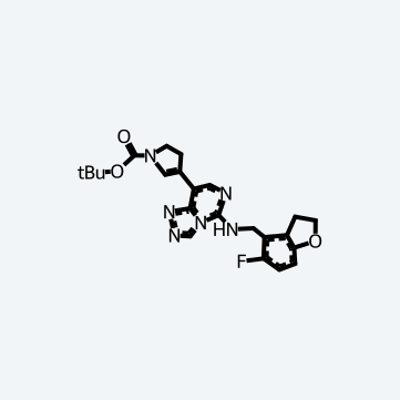 CC(C)(C)OC(=O)N1C=C(c2cnc(NCc3c(F)ccc4c3CCO4)n3cnnc23)CC1